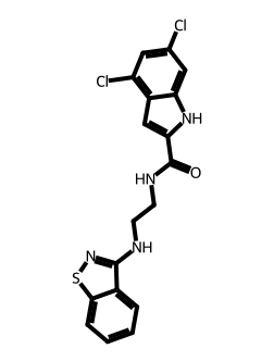 O=C(NCCNc1nsc2ccccc12)c1cc2c(Cl)cc(Cl)cc2[nH]1